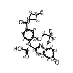 O=C(c1ccc(N(C(=O)O)c2nc3cc(Cl)ccn3n2)c(OCC(F)(F)F)c1)N1CC(F)C1